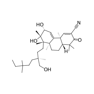 CCC(C)(C)CC[C@](C)(CO)CC[C@@]1(C)[C@]2(C)CC[C@H]3C(C)(C)C(=O)C(C#N)=C[C@]3(C)C2=C[C@@H](O)[C@@]1(C)O